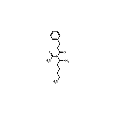 NCCCC[C@H](N)N(C(N)=O)C(=O)CCc1ccccc1